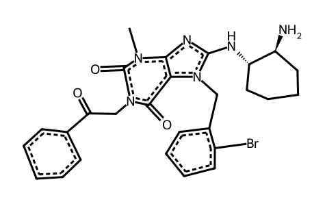 Cn1c(=O)n(CC(=O)c2ccccc2)c(=O)c2c1nc(N[C@H]1CCCC[C@@H]1N)n2Cc1ccccc1Br